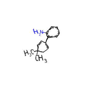 CC1(C)C=CC(c2ccccc2N)=CC1